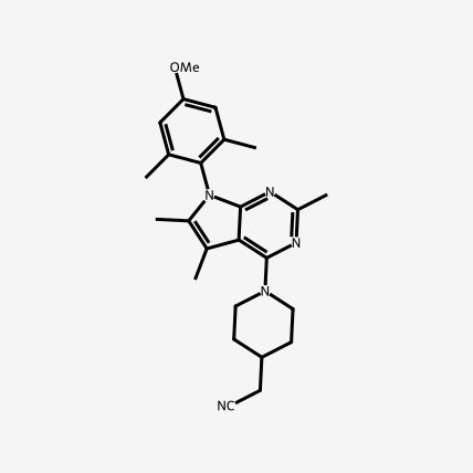 COc1cc(C)c(-n2c(C)c(C)c3c(N4CCC(CC#N)CC4)nc(C)nc32)c(C)c1